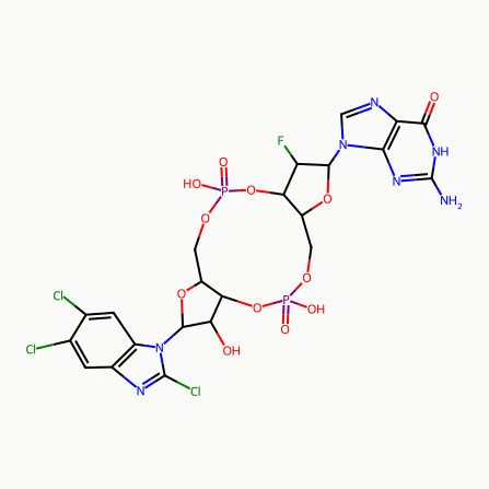 Nc1nc2c(ncn2C2OC3COP(=O)(O)OC4C(COP(=O)(O)OC3C2F)OC(n2c(Cl)nc3cc(Cl)c(Cl)cc32)C4O)c(=O)[nH]1